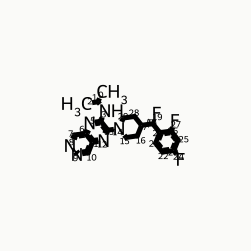 CC(C)Nc1nc2cnncc2nc1N1CCC([C@@H](F)c2ccc(F)cc2F)CC1